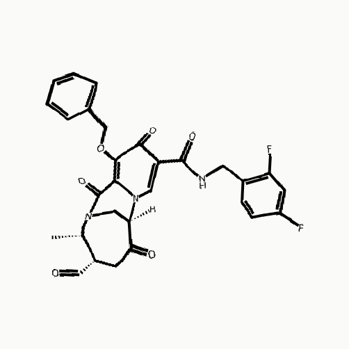 C[C@H]1[C@@H](C=O)CC(=O)[C@H]2CN1C(=O)c1c(OCc3ccccc3)c(=O)c(C(=O)NCc3ccc(F)cc3F)cn12